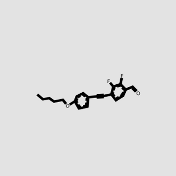 CCCCCOc1ccc(C#Cc2ccc(C=O)c(F)c2F)cc1